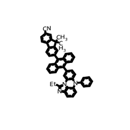 CCc1nc2cccc3c2n1-c1cc(-c2c4ccccc4c(-c4ccc5c(c4)C(C)(C)c4cc(C#N)ccc4-5)c4ccccc24)ccc1N3c1ccccc1